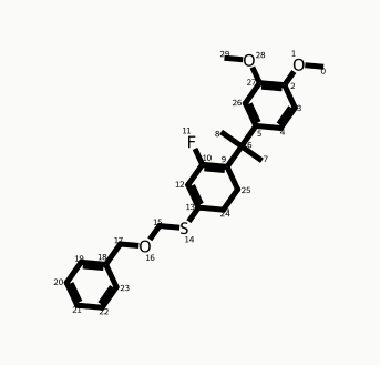 COc1ccc(C(C)(C)C2=C(F)C=C(SCOCc3ccccc3)[CH]C2)cc1OC